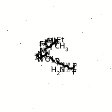 CCN[C@H](C)c1cc(-c2nc(OCCOCCC(N)CCC(F)F)c3nccn3n2)c(F)cn1